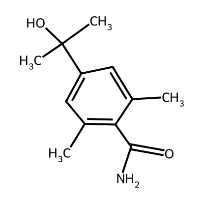 Cc1cc(C(C)(C)O)cc(C)c1C(N)=O